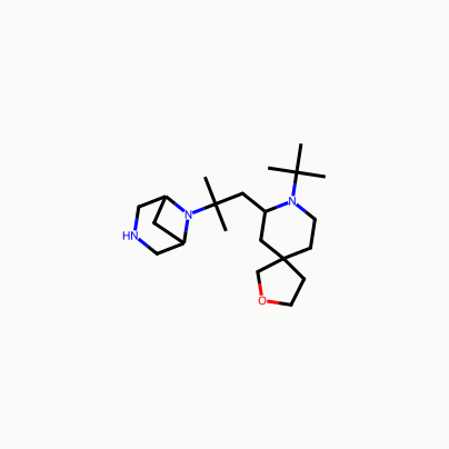 CC(C)(C)N1CCC2(CCOC2)CC1CC(C)(C)N1C2CNCC1C2